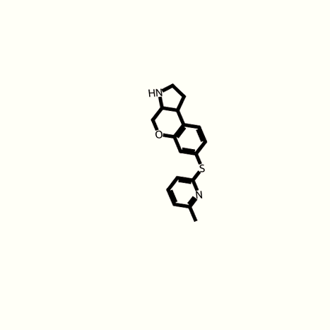 Cc1cccc(Sc2ccc3c(c2)OCC2NCCC32)n1